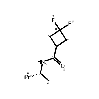 CC(C)[C@@H](C)NC(=O)C1CC(F)(F)C1